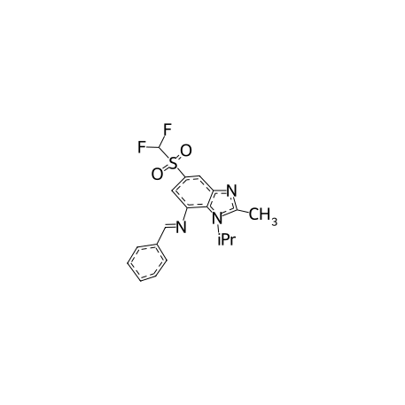 Cc1nc2cc(S(=O)(=O)C(F)F)cc(N=Cc3ccccc3)c2n1C(C)C